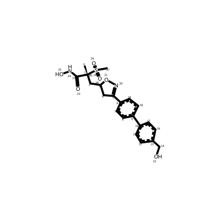 C[C@@](CC1CC(c2ccc(-c3ccc(CO)cc3)cc2)=NO1)(C(=O)NO)S(C)(=O)=O